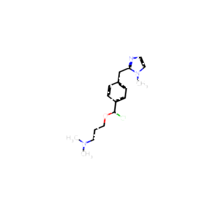 CN(C)CCCOC(Cl)c1ccc(Cc2nccn2C)cc1